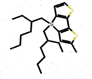 CCCCC(CC)C[Si]1(CC(CC)CCCC)c2ccsc2-c2sc(C)cc21